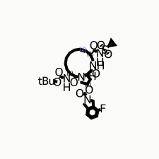 CC(C)(C)OC(=O)N[C@H]1CCCCC/C=C\[C@@H](C(=O)NS(=O)(=O)C2CC2)CNC(=O)[C@@H]2C[C@@H](OC(=O)N3Cc4cccc(F)c4C3)CN2C1=O